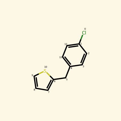 Clc1ccc(Cc2cc[c]s2)cc1